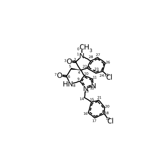 CN1C(=O)[C@]2(CC(=O)Nc3c2cnn3Cc2ccc(Cl)cc2)c2cc(Cl)ccc21